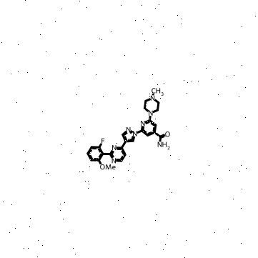 COc1cccc(F)c1-c1nccc(-c2cnn(-c3cc(C(N)=O)cc(N4CCN(C)CC4)n3)c2)n1